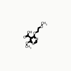 COCCOc1ncnc(OC)c1C(=O)O